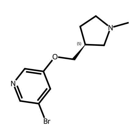 CN1CC[C@H](COc2cncc(Br)c2)C1